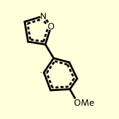 COc1c[c]c(-c2ccno2)cc1